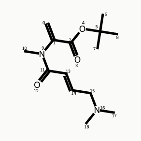 C=C(C(=O)OC(C)(C)C)N(C)C(=O)/C=C/CN(C)C